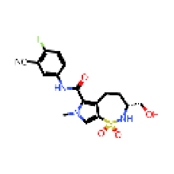 Cn1cc2c(c1C(=O)Nc1ccc(F)c(C#N)c1)CC[C@H](CO)NS2(=O)=O